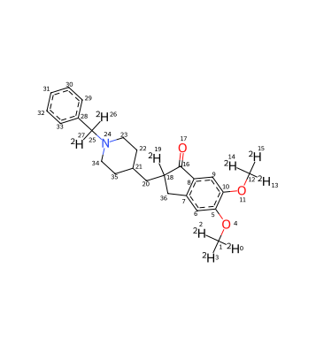 [2H]C([2H])([2H])Oc1cc2c(cc1OC([2H])([2H])[2H])C(=O)C([2H])(CC1CCN(C([2H])([2H])c3ccccc3)CC1)C2